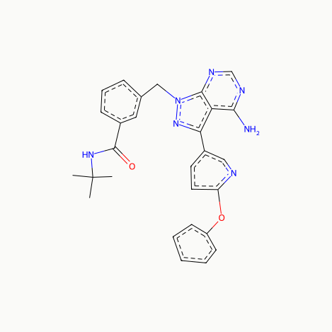 CC(C)(C)NC(=O)c1cccc(Cn2nc(-c3ccc(Oc4ccccc4)nc3)c3c(N)ncnc32)c1